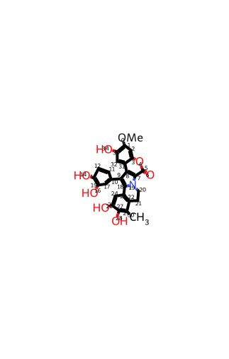 COc1cc2oc(=O)c3c(c(-c4ccc(O)c(O)c4)c4n3CCc3c-4cc(O)c(O)c3C)c2cc1O